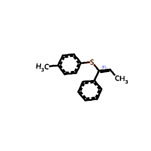 C/C=C(/Sc1ccc(C)cc1)c1ccccc1